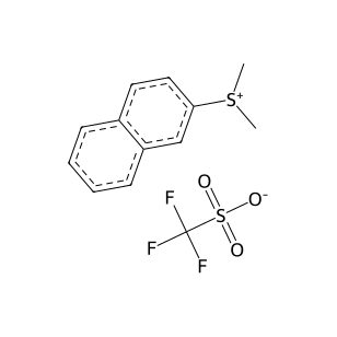 C[S+](C)c1ccc2ccccc2c1.O=S(=O)([O-])C(F)(F)F